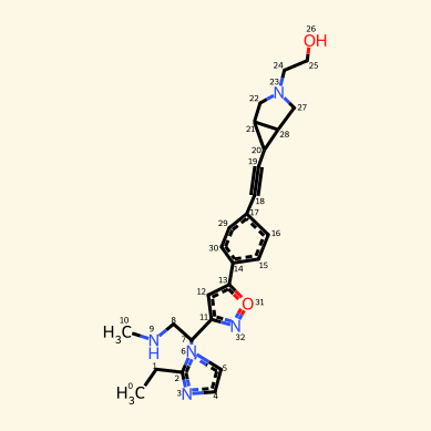 CCc1nccn1C(CNC)c1cc(-c2ccc(C#CC3C4CN(CCO)CC34)cc2)on1